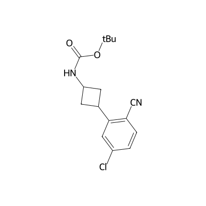 CC(C)(C)OC(=O)NC1CC(c2cc(Cl)ccc2C#N)C1